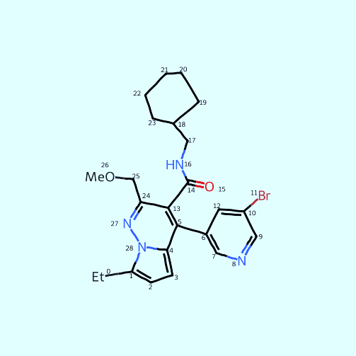 CCc1ccc2c(-c3cncc(Br)c3)c(C(=O)NCC3CCCCC3)c(COC)nn12